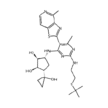 Cc1nc(NCCSC(C)(C)C)nc(N[C@@H]2C[C@H](C3(O)CC3)[C@@H](O)[C@H]2O)c1-c1nc2c(C)nccc2s1